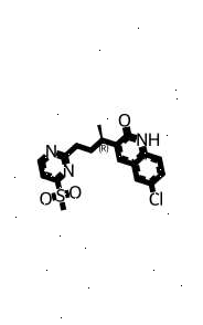 C[C@H](CCc1nccc(S(C)(=O)=O)n1)c1cc2cc(Cl)ccc2[nH]c1=O